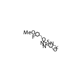 COc1ccc(CCOc2ncnc3c2sc2nc4c(cc23)COC(C)(C)C4)cc1F